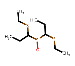 CCSC(CC)[S+]([O-])C(CC)SCC